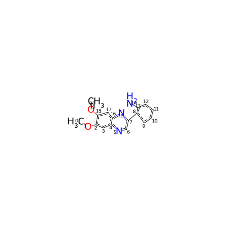 COc1cc2ncc(-c3ccccc3N)nc2cc1OC